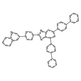 c1ccc(-c2ccc(-c3cc(-c4ccc(-c5ccccc5)cc4)c4nn(-c5ccc(-c6cnc7ccccc7c6)cc5)nc4c3)cc2)cc1